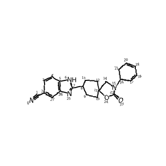 N#Cc1ccc2[nH]c(C3CCC4(CC3)CN(C3C=CC=CC3)C(=O)O4)nc2c1